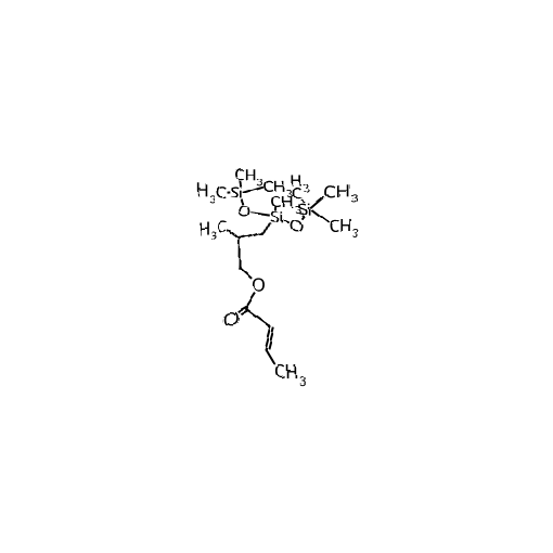 CC=CC(=O)OCC(C)C[Si](C)(O[Si](C)(C)C)O[Si](C)(C)C